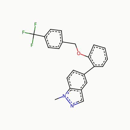 Cn1ncc2cc(-c3ccccc3OCc3ccc(C(F)(F)F)cc3)ccc21